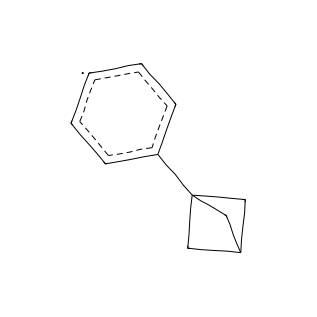 [c]1ccc(C23CC(C2)C3)cc1